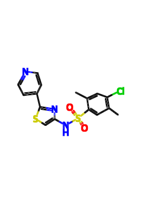 Cc1cc(S(=O)(=O)Nc2csc(-c3ccncc3)n2)c(C)cc1Cl